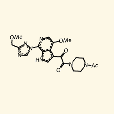 COCc1ncn(-c2ncc(OC)c3c(C(=O)C(=O)N4CCN(C(C)=O)CC4)c[nH]c23)n1